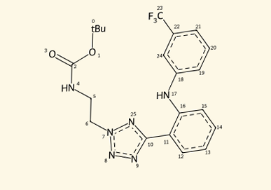 CC(C)(C)OC(=O)NCCn1nnc(-c2ccccc2Nc2cccc(C(F)(F)F)c2)n1